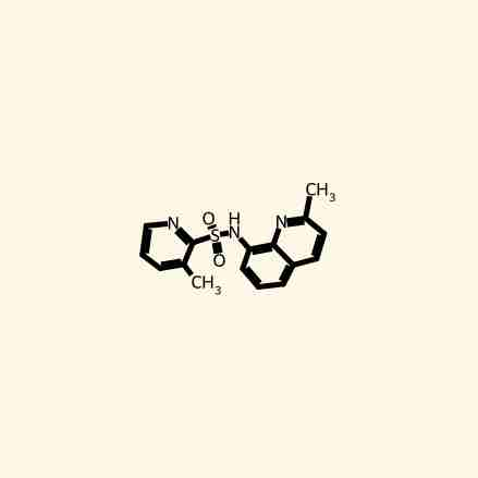 Cc1ccc2cccc(NS(=O)(=O)c3ncccc3C)c2n1